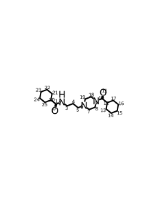 O=C(NCCCN1CCN(C(=O)C2CCCCC2)CC1)C1CCCCC1